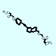 C=CC(=O)COc1ccc(C#Cc2ccc3cc(COCOC(=O)C=C)ccc3c2)cc1